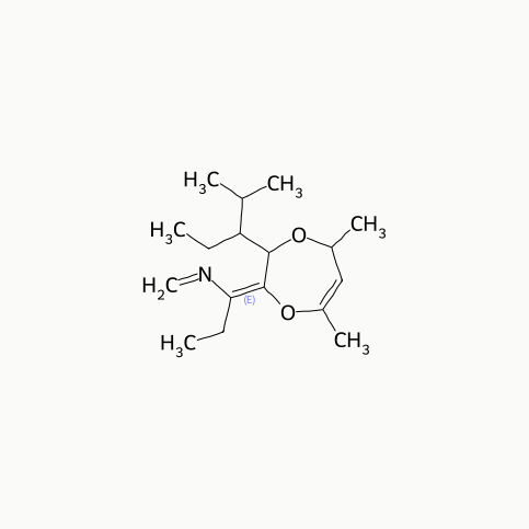 C=N/C(CC)=C1/OC(C)=CC(C)OC1C(CC)C(C)C